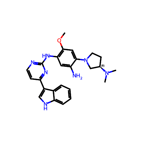 COc1cc(N2CC[C@@H](N(C)C)C2)c(N)cc1Nc1nccc(-c2c[nH]c3ccccc23)n1